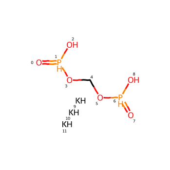 O=[PH](O)OCO[PH](=O)O.[KH].[KH].[KH]